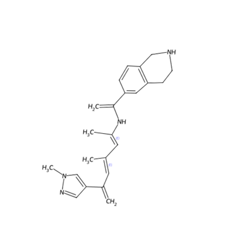 C=C(/C=C(C)/C=C(\C)NC(=C)c1ccc2c(c1)CCNC2)c1cnn(C)c1